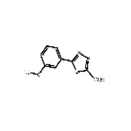 CCOC(=O)c1nnc(-c2cccc(OC(F)(F)F)c2)o1